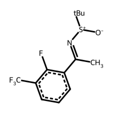 CC(=N[S+]([O-])C(C)(C)C)c1cccc(C(F)(F)F)c1F